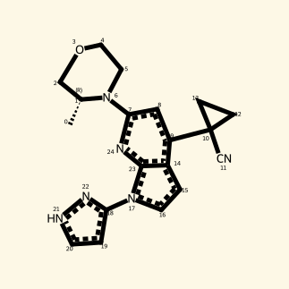 C[C@@H]1COCCN1c1cc(C2(C#N)CC2)c2ccn(-c3cc[nH]n3)c2n1